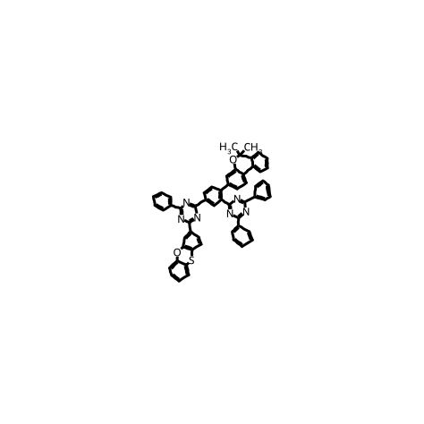 CC1(C)Oc2cc(-c3ccc(-c4nc(-c5ccccc5)nc(-c5ccc6c(c5)Oc5ccccc5S6)n4)cc3-c3nc(-c4ccccc4)nc(-c4ccccc4)n3)ccc2-c2ccccc21